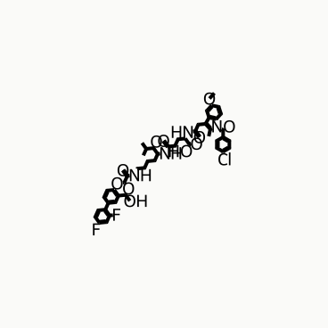 COc1ccc2c(c1)c(CC(=O)NC(CCC(=O)NC(CCCCNC(=O)COc1ccc(-c3ccc(F)cc3F)cc1C(=O)O)C(=O)C(C)C)C(=O)O)c(C)n2C(=O)c1ccc(Cl)cc1